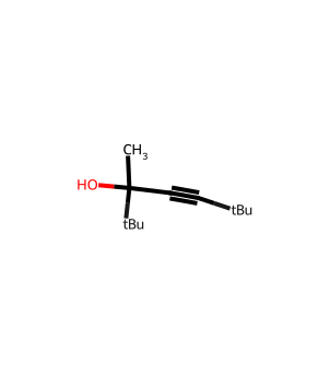 CC(C)(C)C#CC(C)(O)C(C)(C)C